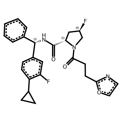 O=C(N[C@@H](c1ccccc1)c1ccc(C2CC2)c(F)c1)[C@@H]1C[C@@H](F)CN1C(=O)CCc1ncco1